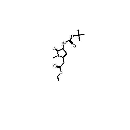 CCOC(=O)CC1C[C@H](NC(=O)OC(C)(C)C)C(=O)N1C